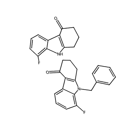 O=C1CCCc2[nH]c3c(F)cccc3c21.O=C1CCCc2c1c1cccc(F)c1n2Cc1ccccc1